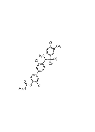 COC(=O)Oc1ccc(-c2ccc(C(C)C(O)(c3ccc(=O)n(C)c3)C(F)(F)F)c(Cl)c2)cc1Cl